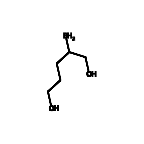 BC(CO)CCCO